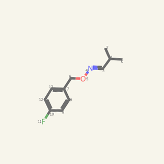 CC(C)C=NOCc1ccc(F)cc1